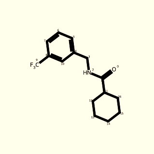 O=C(NCc1cccc(C(F)(F)F)c1)C1CCCCC1